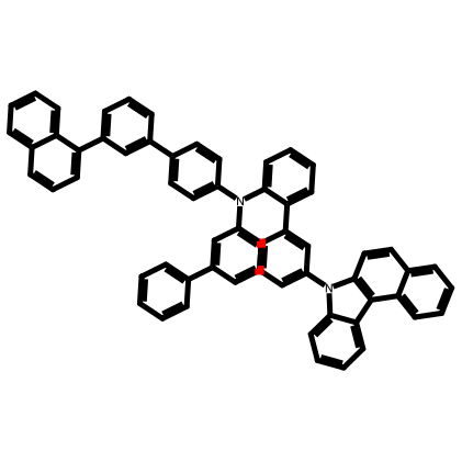 c1ccc(-c2cccc(N(c3ccc(-c4cccc(-c5cccc6ccccc56)c4)cc3)c3ccccc3-c3cccc(-n4c5ccccc5c5c6ccccc6ccc54)c3)c2)cc1